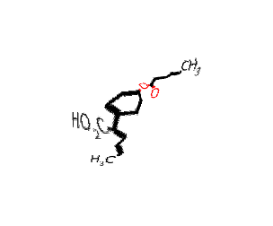 CC=CC=CC(=O)Oc1ccc(C(=CC=CC)C(=O)O)cc1